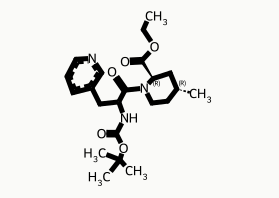 CCOC(=O)[C@H]1C[C@H](C)CCN1C(=O)C(Cc1cccnc1)NC(=O)OC(C)(C)C